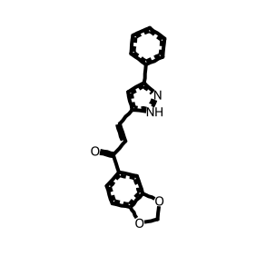 O=C(C=Cc1cc(-c2ccccc2)n[nH]1)c1ccc2c(c1)OCO2